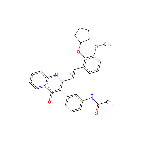 COc1cccc(/C=C/c2nc3ccccn3c(=O)c2-c2cccc(NC(C)=O)c2)c1OC1CCCC1